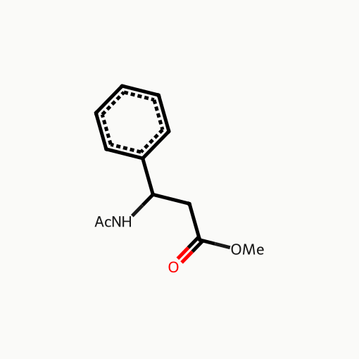 COC(=O)CC(NC(C)=O)c1ccccc1